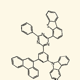 c1ccc(-c2nc(-c3cc(-c4cc5ccccc5c5ccccc45)cc(-n4c5ccccc5c5ccccc54)c3)nc(-c3cccc4c3sc3ccccc34)n2)cc1